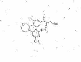 Cc1cc(N2CCCOCC2c2ccc(NC(=O)CC(C)(C)C)cc2Cl)nc(N)n1